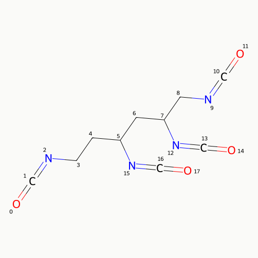 O=C=NCCC(CC(CN=C=O)N=C=O)N=C=O